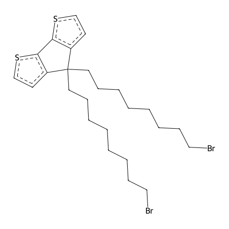 BrCCCCCCCCC1(CCCCCCCCBr)c2ccsc2-c2sccc21